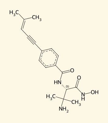 CC(C)=CC#Cc1ccc(C(=O)N[C@H](C(=O)NO)C(C)(C)N)cc1